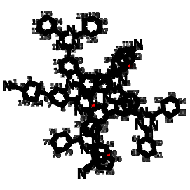 N#Cc1ccc(-c2ccc(-c3nc(-c4ccc(-c5cccc(C#N)c5)cc4)nc(-c4ccc(-c5ccc(C#N)cc5)cc4-n4c5ccc(-c6nc(-c7ccccc7)nc(-c7ccccc7)n6)cc5c5cc(-c6nc(-c7ccccc7)nc(-c7ccccc7)n6)ccc54)n3)c(-n3c4ccc(-c5nc(-c6ccccc6)nc(-c6ccccc6)n5)cc4c4cc(-c5nc(-c6ccccc6)nc(-c6ccccc6)n5)ccc43)c2)cc1